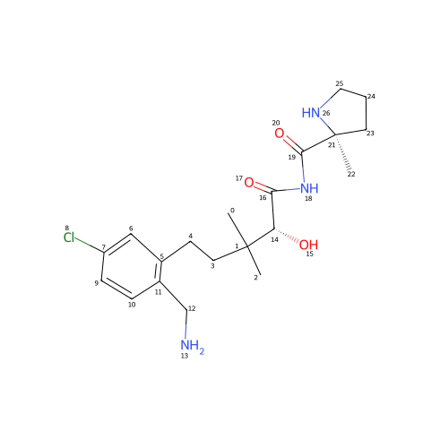 CC(C)(CCc1cc(Cl)ccc1CN)[C@@H](O)C(=O)NC(=O)[C@]1(C)CCCN1